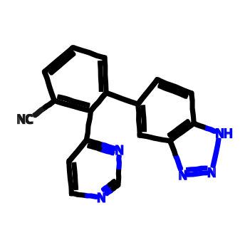 N#Cc1cccc(-c2ccc3[nH]nnc3c2)c1-c1ccncn1